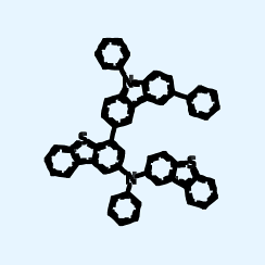 c1ccc(-c2ccc3c(c2)c2cc(-c4cc(N(c5ccccc5)c5ccc6sc7ccccc7c6c5)cc5c4sc4ccccc45)ccc2n3-c2ccccc2)cc1